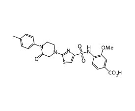 COc1cc(C(=O)O)ccc1NS(=O)(=O)c1csc(N2CCN(c3ccc(C)cc3)C(=O)C2)n1